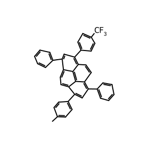 Cc1ccc(-c2cc(-c3ccccc3)c3ccc4c(-c5ccc(C(F)(F)F)cc5)cc(-c5ccccc5)c5ccc2c3c54)cc1